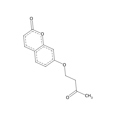 CC(=O)CCOc1ccc2ccc(=O)oc2c1